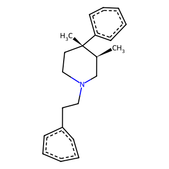 C[C@H]1CN(CCc2ccccc2)CC[C@]1(C)c1ccccc1